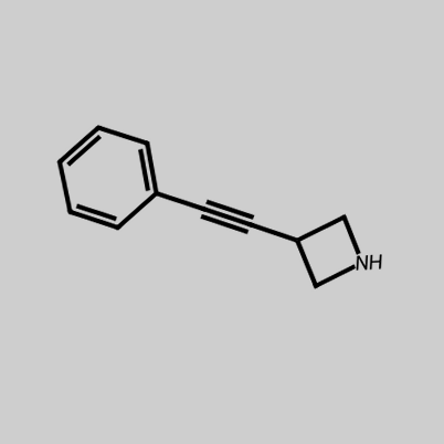 C(#CC1CNC1)c1ccccc1